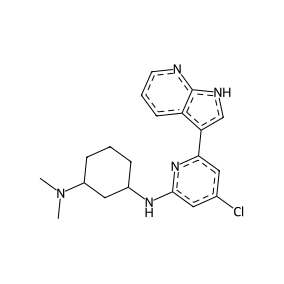 CN(C)C1CCCC(Nc2cc(Cl)cc(-c3c[nH]c4ncccc34)n2)C1